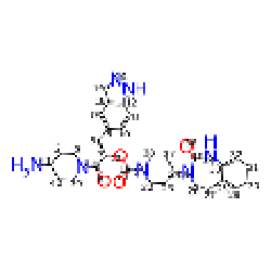 NC1CCN(C(=O)[C@@H](Cc2ccc3[nH]ncc3c2)OC(=O)N2CCC(N3CCc4ccccc4NC3=O)CC2)CC1